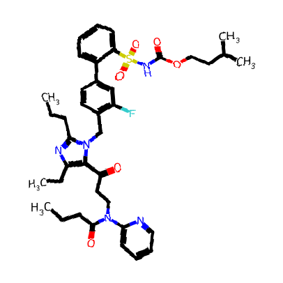 CCCC(=O)N(CCC(=O)c1c(CC)nc(CCC)n1Cc1ccc(-c2ccccc2S(=O)(=O)NC(=O)OCCC(C)C)cc1F)c1ccccn1